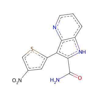 NC(=O)c1[nH]c2cccnc2c1-c1cc([N+](=O)[O-])cs1